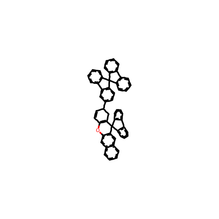 C1=CC(c2ccc3c(c2)-c2ccccc2C32c3ccccc3-c3ccccc32)CC2=C1Oc1cc3ccccc3cc1C21c2ccccc2-c2ccccc21